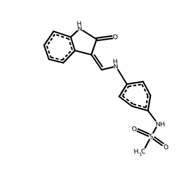 CS(=O)(=O)Nc1ccc(NC=C2C(=O)Nc3ccccc32)cc1